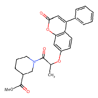 COC(=O)C1CCCN(C(=O)C(C)Oc2ccc3c(-c4ccccc4)cc(=O)oc3c2)C1